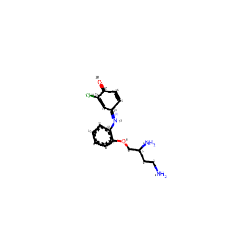 NCCC(N)COc1ccccc1/N=C1/C=CC(=O)C(Cl)=C1